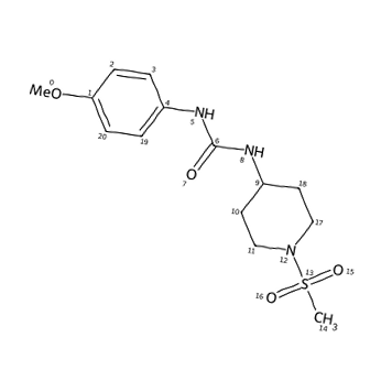 COc1ccc(NC(=O)NC2CCN(S(C)(=O)=O)CC2)cc1